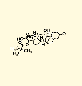 CC(C)(C)C(=O)O[C@@H](C(=O)O)[C@@]1(O)CC[C@H]2[C@@H]3CCC4=CC(=O)C=C[C@]4(C)[C@H]3[C@@H](O)C[C@@]21C